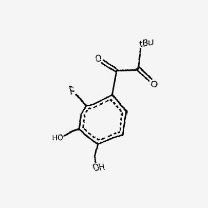 CC(C)(C)C(=O)C(=O)c1ccc(O)c(O)c1F